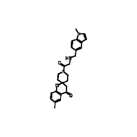 Cc1ccc2c(c1)C(=O)CC1(CCN(C(=O)CNCc3ccc4c(ccn4C)c3)CC1)O2